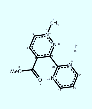 COC(=O)c1cc[n+](C)nc1-c1ncccn1.[I-]